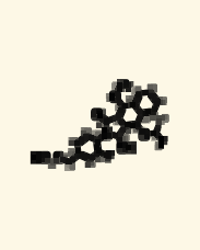 CC(C)Oc1c2c(c(OC(F)F)c3ccccc13)C(O)N(c1ccc(CC(=O)O)cc1F)C2=O